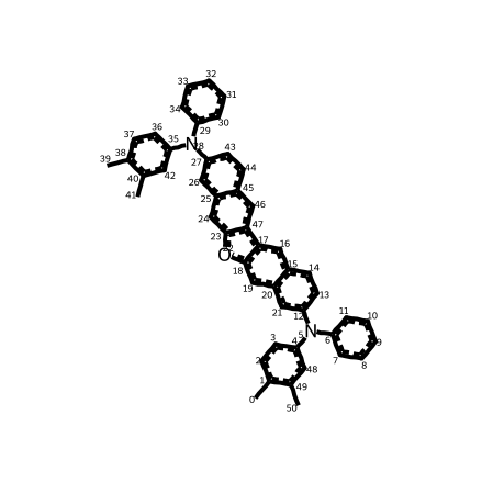 Cc1ccc(N(c2ccccc2)c2ccc3cc4c(cc3c2)oc2cc3cc(N(c5ccccc5)c5ccc(C)c(C)c5)ccc3cc24)cc1C